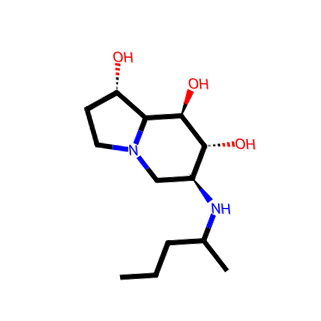 CCCC(C)N[C@H]1CN2CC[C@H](O)C2[C@@H](O)[C@@H]1O